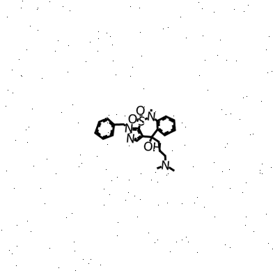 CN(C)CCCC1(O)c2ccccc2N(C)S(=O)(=O)c2c1cnn2Cc1ccccc1